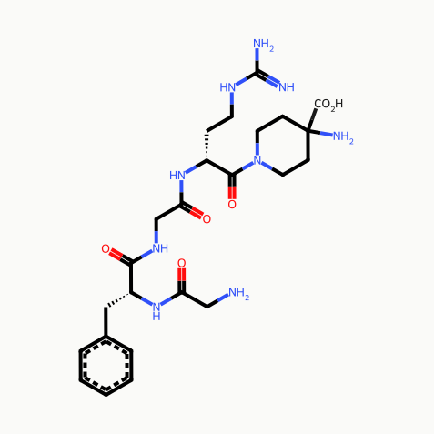 N=C(N)NCC[C@@H](NC(=O)CNC(=O)[C@@H](Cc1ccccc1)NC(=O)CN)C(=O)N1CCC(N)(C(=O)O)CC1